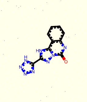 O=c1nc2ccccc2c2[nH]c(-c3nnn[nH]3)nn12